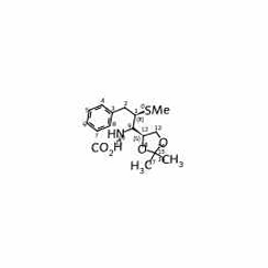 CS[C@H](Cc1ccccc1)C(NC(=O)O)[C@H]1COC(C)(C)O1